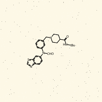 CC(C)(C)NC(=O)C1CCN(Cc2cccc(N(C=O)c3ccc4ncsc4c3)c2)CC1